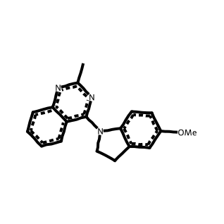 COc1ccc2c(c1)CCN2c1nc(C)nc2ccccc12